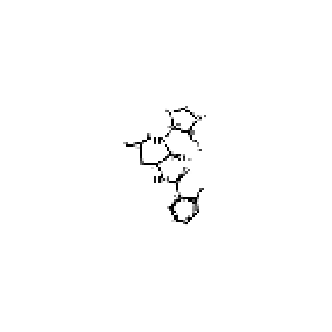 Cc1ccccc1C(=O)NC(CC(C)C)C(=O)N[C@H]1CCOC1O